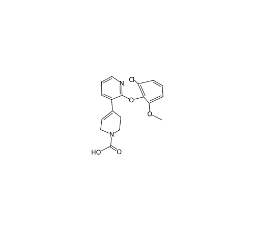 COc1cccc(Cl)c1Oc1ncccc1C1=CCN(C(=O)O)CC1